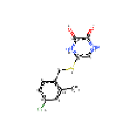 O=c1[nH]cc(SCc2ccc(Cl)cc2C(F)(F)F)[nH]c1=O